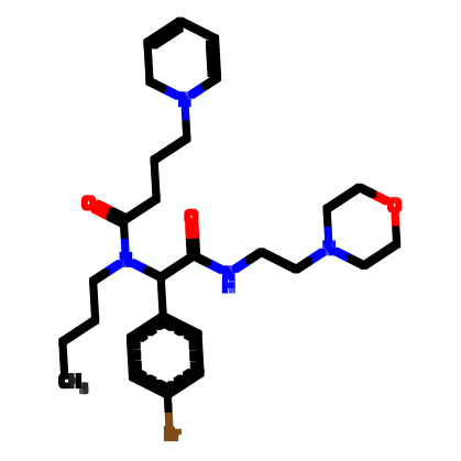 CCCCN(C(=O)CCCN1C=CC=CC1)C(C(=O)NCCN1CCOCC1)c1ccc(Br)cc1